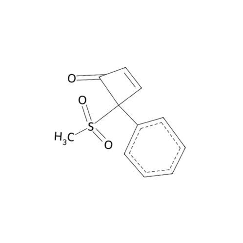 CS(=O)(=O)C1(c2ccccc2)C=CC1=O